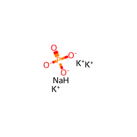 O=P([O-])([O-])[O-].[K+].[K+].[K+].[NaH]